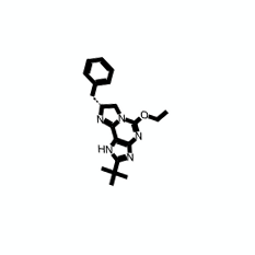 CCOC1=Nc2nc(C(C)(C)C)[nH]c2C2=N[C@H](Cc3ccccc3)CN12